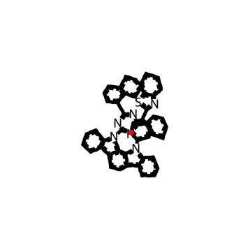 c1ccc(-c2nc(-c3cccc4ccccc34)nc(-n3c4ccccc4c4ccc5c6ccccc6n(-c6ccc(-c7nc8ccccc8s7)cc6)c5c43)n2)cc1